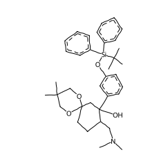 CN(C)CC1CCC2(CC1(O)c1cccc(O[Si](c3ccccc3)(c3ccccc3)C(C)(C)C)c1)OCC(C)(C)CO2